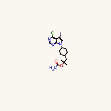 CC(C)(C[C@H]1CC[C@H](n2cc(I)c3c(Cl)ncnc32)CC1)OC(N)=O